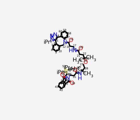 CC(C)n1nnc2c1-c1ccccc1CN(C(=O)CCNC(=O)CCC(C)(C)OCCC(C)(C)NC(=O)CCN1C(=O)C3C4C=CC(C4CCCS(C(C)C)(C(C)C)C(C)C)C3C1=O)c1ccccc1-2